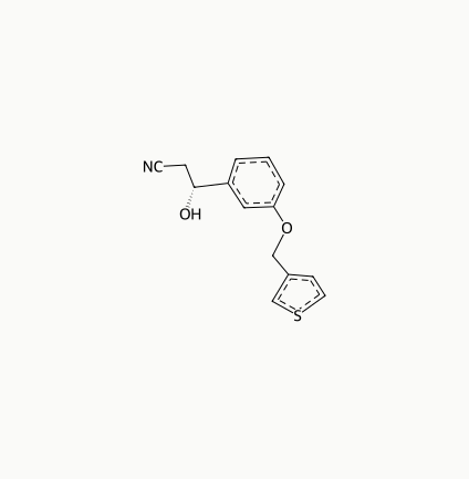 N#CC[C@@H](O)c1cccc(OCc2ccsc2)c1